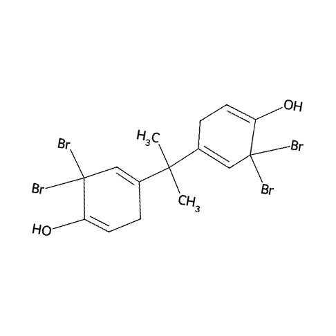 CC(C)(C1=CC(Br)(Br)C(O)=CC1)C1=CC(Br)(Br)C(O)=CC1